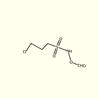 O=CONS(=O)(=O)CCCCl